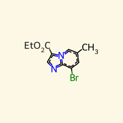 CCOC(=O)c1cnc2c(Br)cc(C)cn12